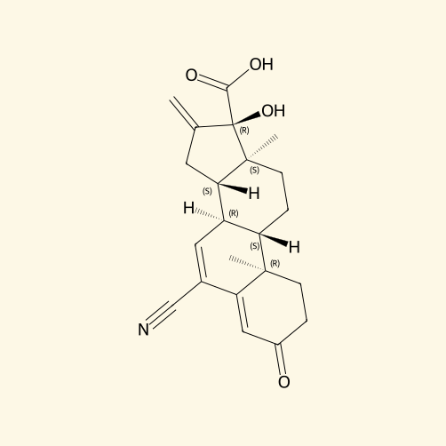 C=C1C[C@H]2[C@@H]3C=C(C#N)C4=CC(=O)CC[C@]4(C)[C@H]3CC[C@]2(C)[C@@]1(O)C(=O)O